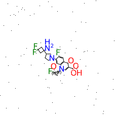 COc1c(N2CCC(C3(N)CC(F)(F)C3)C2)c(F)cc2c(=O)c(C(=O)O)cn([C@@H]3C[C@H]3F)c12